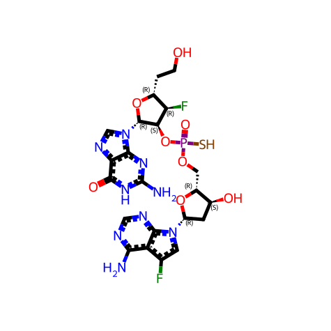 Nc1nc2c(ncn2[C@@H]2O[C@H](CCO)[C@@H](F)[C@H]2OP(=O)(S)OC[C@H]2O[C@@H](n3cc(F)c4c(N)ncnc43)C[C@@H]2O)c(=O)[nH]1